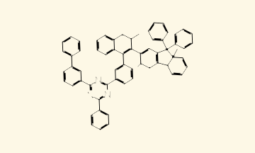 CC1CC2=C(C=C1C1=C(c3cccc(-c4nc(-c5ccccc5)nc(-c5cccc(-c6ccccc6)c5)n4)c3)c3ccccc3CC1C)C(c1ccccc1)(c1ccccc1)C1(C)C=CC=CC21